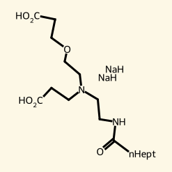 CCCCCCCC(=O)NCCN(CCOCCC(=O)O)CCC(=O)O.[NaH].[NaH]